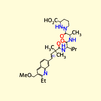 CCc1nc2cc(/C=C/C(C)(C)C(=O)NC(C(=O)NC(C)C(=O)N3CCCC(C(=O)O)N3)C(C)C)ccc2cc1COC